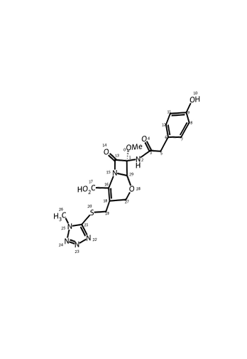 CO[C@@]1(NC(=O)Cc2ccc(O)cc2)C(=O)N2C(C(=O)O)=C(CSc3nnnn3C)COC21